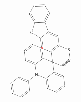 c1ccc(N2c3ccccc3C3(c4ccccc4Sc4cc5c(cc43)oc3ccccc35)c3ccccc32)cc1